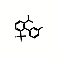 Cc1cccc(-c2c(C(C)C)cccc2C(F)(F)F)c1